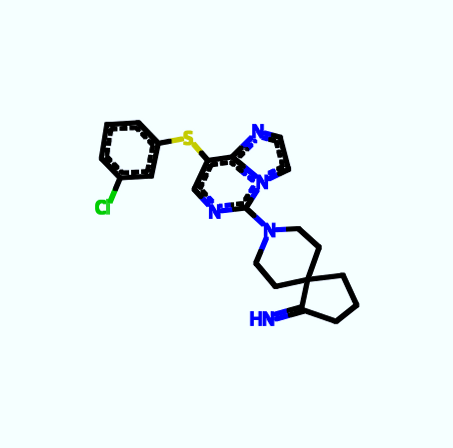 N=C1CCCC12CCN(c1ncc(Sc3cccc(Cl)c3)c3nccn13)CC2